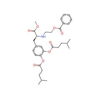 COC(=O)[C@H](Cc1ccc(OC(=O)CCC(C)C)c(OC(=O)CCC(C)C)c1)NCCOC(=O)c1ccccc1